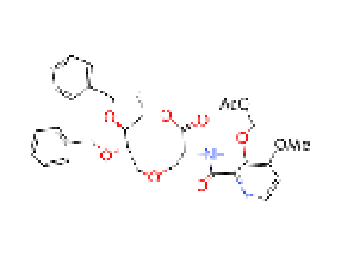 COc1ccnc(C(=O)NC2COC[C@H](OCc3ccccc3)[C@@H](OCc3ccccc3)[C@H](C)OC2=O)c1OCOC(C)=O